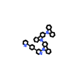 c1ccc(-c2ccc(-c3ccnc(-n4c5ccccc5c5ccc(-n6c7ccccc7c7ccc(-n8c9ccccc9c9ccccc98)cc76)cc54)c3)cc2)nc1